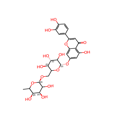 CC1O[C@@H](OCC2O[C@@H](Oc3cc(O)c4c(=O)cc(-c5ccc(O)c(O)c5)oc4c3)C(O)[C@@H](O)[C@@H]2O)C(O)[C@@H](O)[C@H]1O